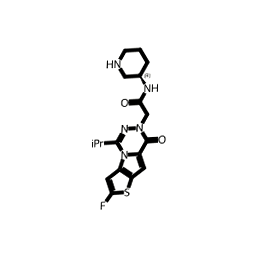 CC(C)c1nn(CC(=O)N[C@@H]2CCCNC2)c(=O)c2cc3sc(F)cc3n12